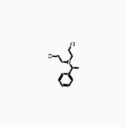 CC(c1ccccc1)N(CCCl)CCCl